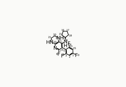 Fc1cc(F)c(-c2c(F)nc3c(c2NC2CCCC2)NCCN3)c(F)c1